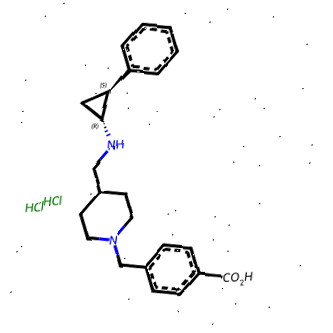 Cl.Cl.O=C(O)c1ccc(CN2CCC(CN[C@@H]3C[C@H]3c3ccccc3)CC2)cc1